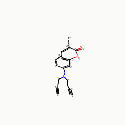 C#CCN(CC#C)c1ccc2cc(C(C)=O)c(=O)oc2c1